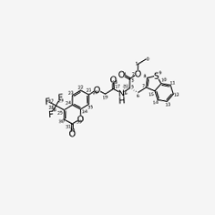 CCOC(=O)[C@H](Cc1csc2ccccc12)NC(=O)COc1ccc2c(C(F)(F)F)cc(=O)oc2c1